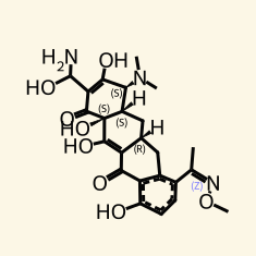 CO/N=C(/C)c1ccc(O)c2c1C[C@H]1C[C@H]3[C@H](N(C)C)C(O)=C(C(N)O)C(=O)[C@@]3(O)C(O)=C1C2=O